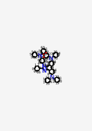 c1ccc(-c2nc3c4cc(N(c5ccccc5)c5ccccc5)ccc4c4ccc(N(c5ccccc5)c5ccccc5)cc4c3n2-c2ccc(N(c3ccccc3)c3ccccc3)cc2)cc1